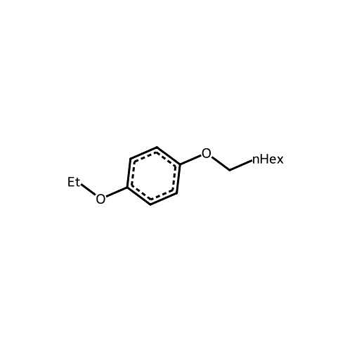 CCCCCCCOc1ccc(OCC)cc1